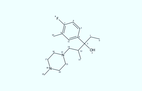 CCC(O)(c1ccc(F)c(C)c1)C(C)CN1CCN(C)CC1